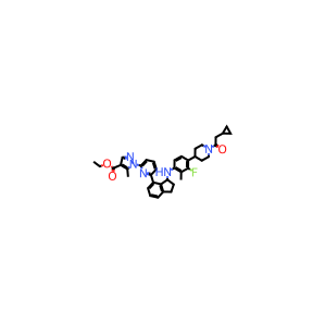 CCOC(=O)c1cnn(-c2cccc(-c3cccc4c3C(Nc3ccc(C5CCN(C(=O)CC6CC6)CC5)c(F)c3C)CC4)n2)c1C